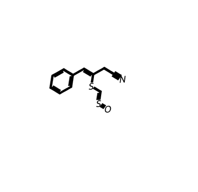 N#CCC(=Cc1ccccc1)SC=S=O